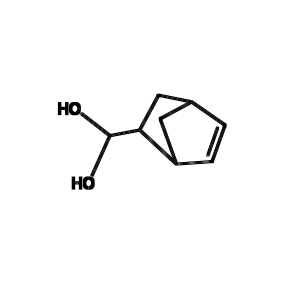 OC(O)C1CC2C=CC1C2